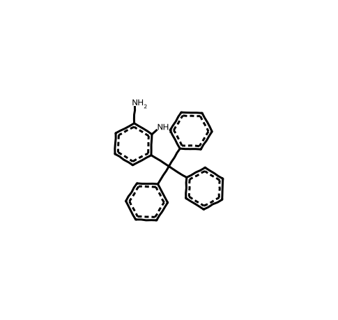 Nc1cccc(C(c2ccccc2)(c2ccccc2)c2ccccc2)c1N